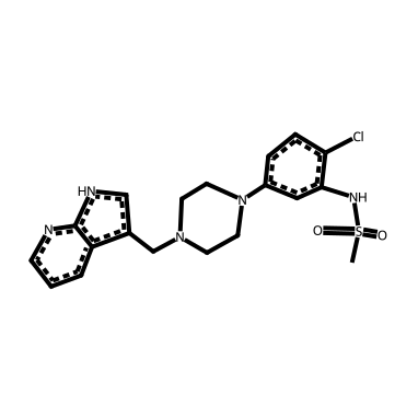 CS(=O)(=O)Nc1cc(N2CCN(Cc3c[nH]c4ncccc34)CC2)ccc1Cl